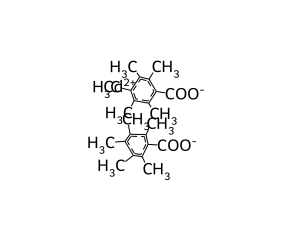 Cc1c(C)c(C)c(C(=O)[O-])c(C)c1C.Cc1c(C)c(C)c(C(=O)[O-])c(C)c1C.[Cd+2]